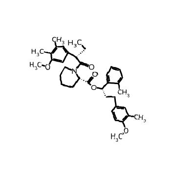 CC[C@H](C(=O)N1CCCC[C@H]1C(=O)O[C@@H](CCc1ccc(OC)c(C)c1)c1ccccc1C)c1cc(C)c(C)c(OC)c1